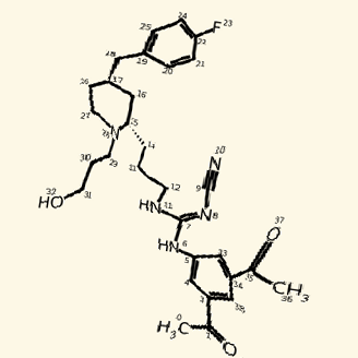 CC(=O)c1cc(NC(=NC#N)NCCC[C@H]2C[C@H](Cc3ccc(F)cc3)CCN2CCCO)cc(C(C)=O)c1